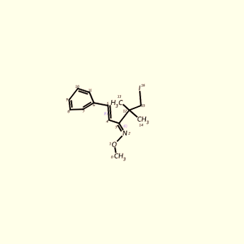 CO/N=C(\C=C\c1ccccc1)C(C)(C)CI